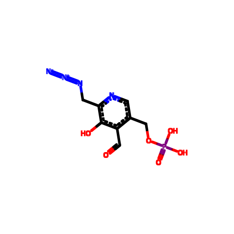 [N-]=[N+]=NCc1ncc(COP(=O)(O)O)c(C=O)c1O